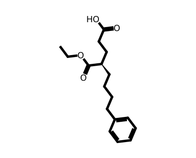 CCOC(=O)[C@H](CCCCc1ccccc1)CCC(=O)O